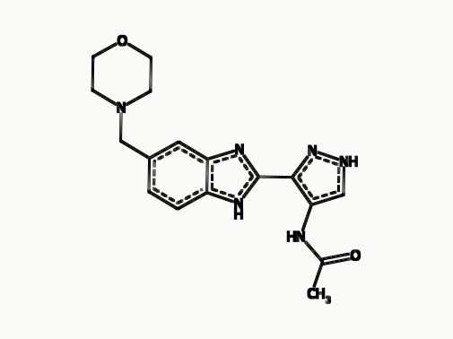 CC(=O)Nc1c[nH]nc1-c1nc2cc(CN3CCOCC3)ccc2[nH]1